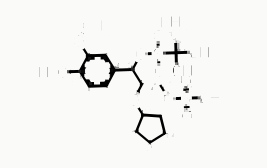 COc1cc(C(O[Si](C)(C)C(C)(C)C)[C@H](COS(C)(=O)=O)OC2CCCC2)ccc1C